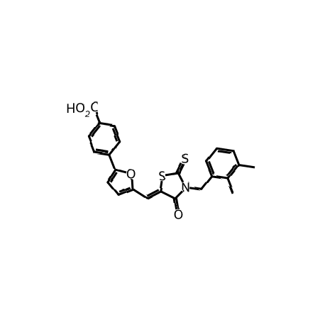 Cc1cccc(CN2C(=O)C(=Cc3ccc(-c4ccc(C(=O)O)cc4)o3)SC2=S)c1C